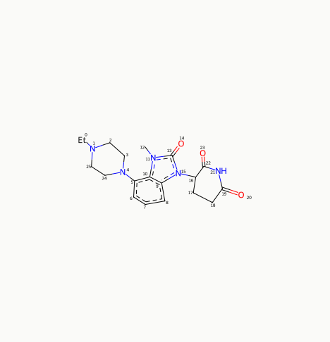 CCN1CCN(c2cccc3c2n(C)c(=O)n3C2CCC(=O)NC2=O)CC1